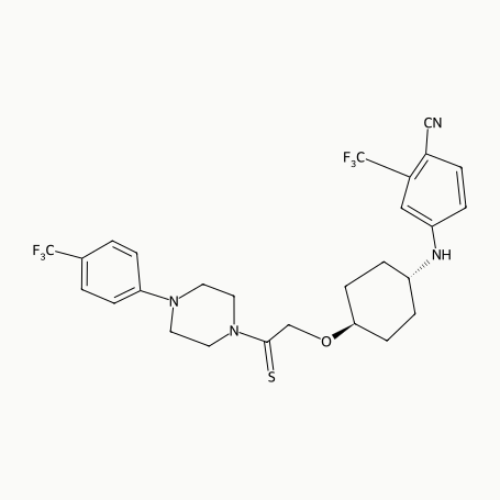 N#Cc1ccc(N[C@H]2CC[C@H](OCC(=S)N3CCN(c4ccc(C(F)(F)F)cc4)CC3)CC2)cc1C(F)(F)F